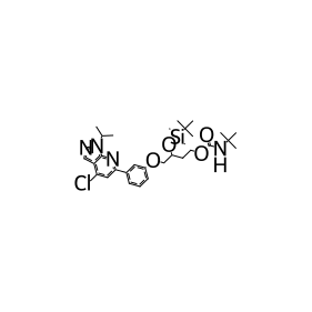 CC(C)n1ncc2c(Cl)cc(-c3cccc(OCC(CCOC(=O)NC(C)(C)C)O[Si](C)(C)C(C)(C)C)c3)nc21